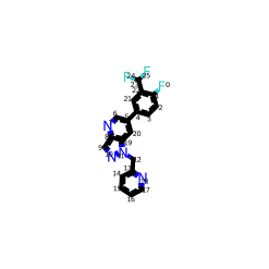 Fc1ccc(-c2cnc3cnn(Cc4ccccn4)c3c2)cc1C(F)F